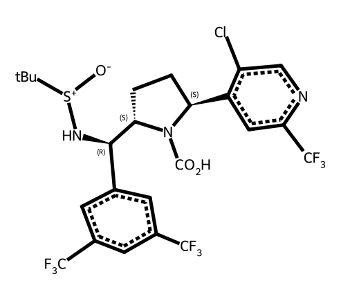 CC(C)(C)[S+]([O-])N[C@H](c1cc(C(F)(F)F)cc(C(F)(F)F)c1)[C@@H]1CC[C@@H](c2cc(C(F)(F)F)ncc2Cl)N1C(=O)O